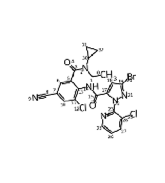 CCN(C(=O)c1cc(C#N)cc(Cl)c1NC(=O)c1cc(Br)nn1-c1ncccc1Cl)C1CC1